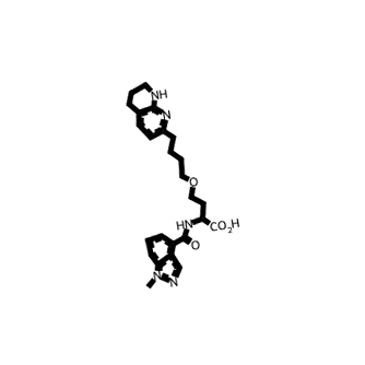 Cn1ncc2c(C(=O)NC(CCOCCCCc3ccc4c(n3)NCCC4)C(=O)O)cccc21